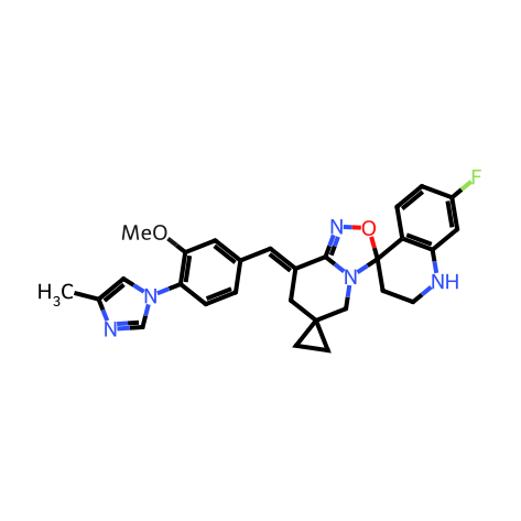 COc1cc(/C=C2\CC3(CC3)CN3C2=NOC32CCNc3cc(F)ccc32)ccc1-n1cnc(C)c1